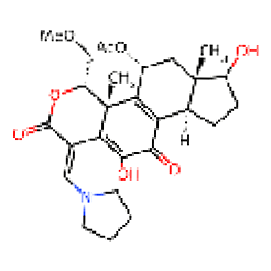 COC[C@H]1OC(=O)/C(=C/N2CCCC2)C2=C(O)C(=O)C3=C([C@H](OC(C)=O)C[C@]4(C)C(O)CC[C@@H]34)[C@]21C